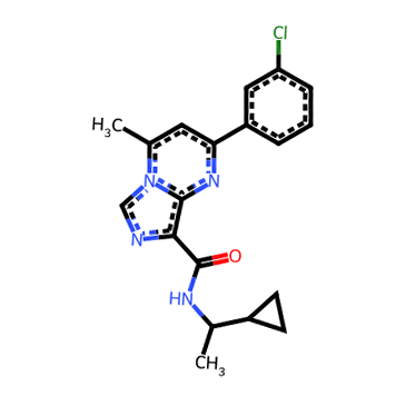 Cc1cc(-c2cccc(Cl)c2)nc2c(C(=O)NC(C)C3CC3)ncn12